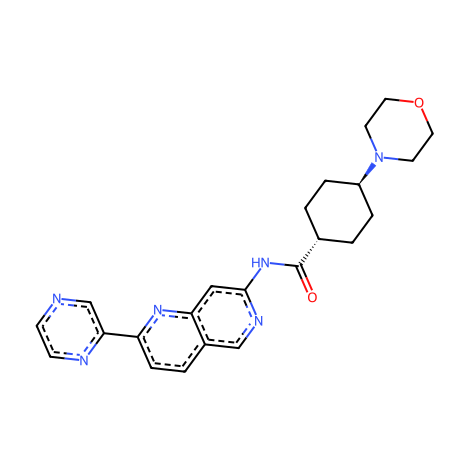 O=C(Nc1cc2nc(-c3cnccn3)ccc2cn1)[C@H]1CC[C@H](N2CCOCC2)CC1